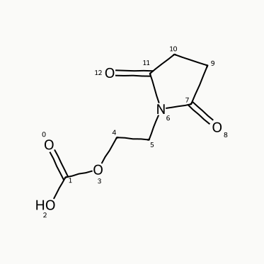 O=C(O)OCCN1C(=O)CCC1=O